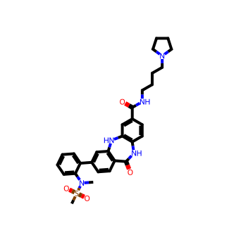 CN(c1ccccc1-c1ccc2c(c1)Nc1cc(C(=O)NCCCCN3CCCC3)ccc1NC2=O)S(C)(=O)=O